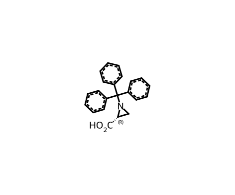 O=C(O)[C@H]1CN1C(c1ccccc1)(c1ccccc1)c1ccccc1